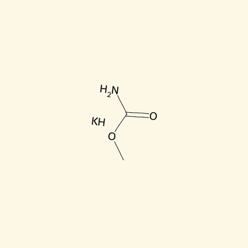 COC(N)=O.[KH]